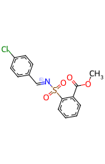 COC(=O)c1ccccc1S(=O)(=O)/N=C/c1ccc(Cl)cc1